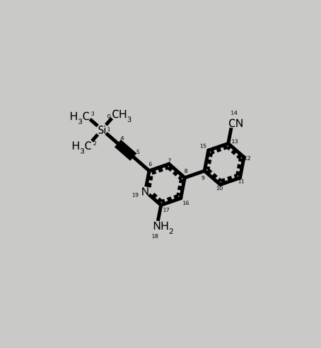 C[Si](C)(C)C#Cc1cc(-c2cccc(C#N)c2)cc(N)n1